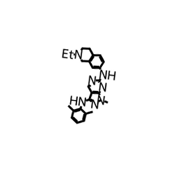 CCN1CCc2ccc(Nc3ncc4c(Nc5c(C)cccc5C)nn(C)c4n3)cc2C1